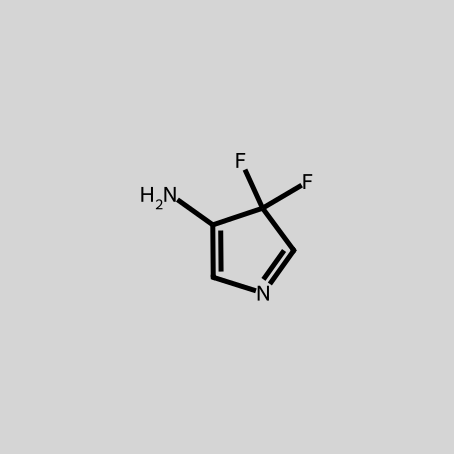 NC1=CN=CC1(F)F